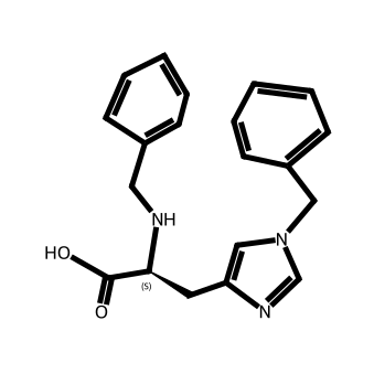 O=C(O)[C@H](Cc1cn(Cc2ccccc2)cn1)NCc1ccccc1